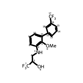 COc1c(NCC(O)C(F)(F)F)cccc1-c1cccc(C(F)(F)F)c1